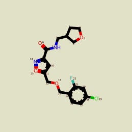 O=C(NCC1CCOC1)c1cc(COCc2ccc(Cl)cc2F)on1